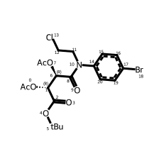 CC(=O)O[C@@H](C(=O)OC(C)(C)C)[C@@H](OC(C)=O)C(=O)N(CCCl)c1ccc(Br)cc1